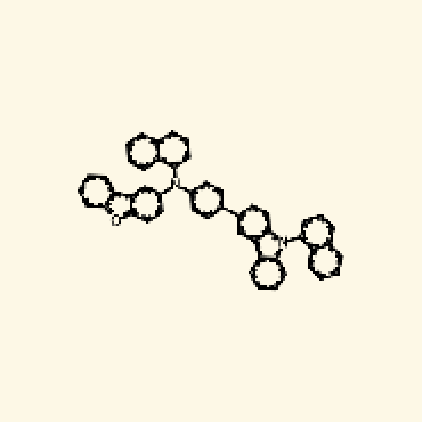 c1ccc2c(N(c3ccc(-c4ccc5c(c4)c4ccccc4n5-c4cccc5ccccc45)cc3)c3ccc4oc5ccccc5c4c3)cccc2c1